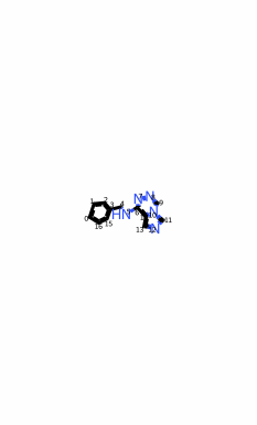 c1ccc(CNc2nncn3cncc23)cc1